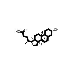 C[C@H](CCC(=O)O)[C@H]1CC[C@H]2C3=CC=C4C[C@@H](O)CC[C@]4(C)[C@H]3CC[C@]12C